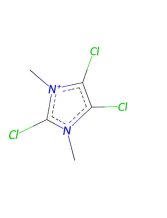 Cn1c(Cl)c(Cl)[n+](C)c1Cl